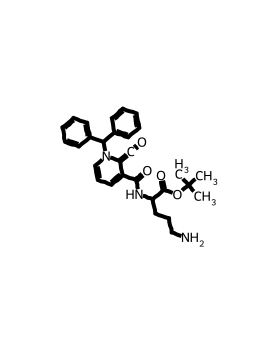 CC(C)(C)OC(=O)C(CCCN)NC(=O)C1=CC=CN(C(c2ccccc2)c2ccccc2)C1=C=O